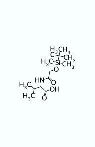 CC(C)[C@H](NC(=O)CO[Si](C)(C)C(C)(C)C)C(=O)O